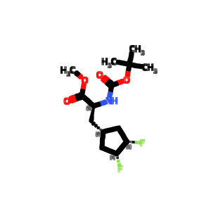 COC(=O)[C@H](C[C@H]1C[C@@H](F)[C@@H](F)C1)NC(=O)OC(C)(C)C